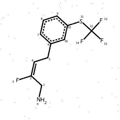 NC/C(F)=C\Cc1cccc(SC(F)(F)F)c1